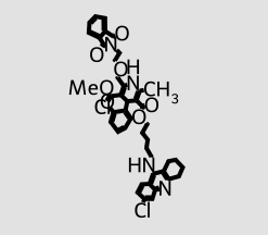 COC(=O)C1=C(COCCN2C(=O)c3ccccc3C2=O)NC(C)=C(C(=O)OCCCCCNc2c3c(nc4cc(Cl)ccc24)CCCC3)C1c1ccccc1Cl